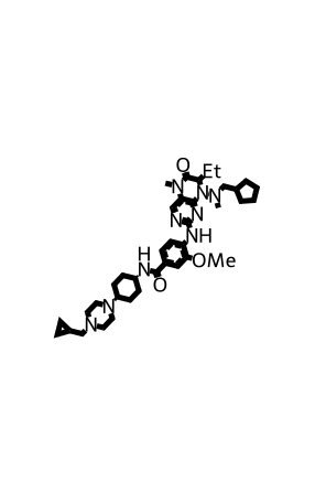 CCC1C(=O)N(C)c2cnc(Nc3ccc(C(=O)N[C@H]4CC[C@H](N5CCN(CC6CC6)CC5)CC4)cc3OC)nc2N1N(C)CC1CCCC1